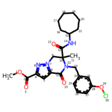 COC(=O)c1cc2n(n1)CC(C)(C(=O)NC1CCCCCC1)N(Cc1cccc(OCl)c1)C2=O